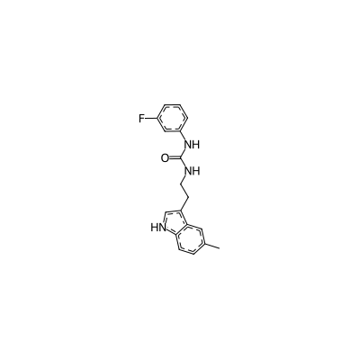 Cc1ccc2[nH]cc(CCNC(=O)Nc3cccc(F)c3)c2c1